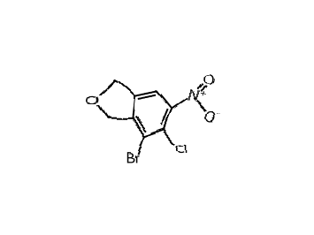 O=[N+]([O-])c1cc2c(c(Br)c1Cl)COC2